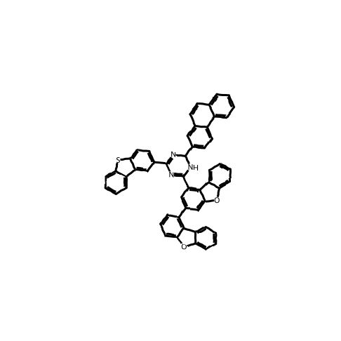 c1ccc2c(c1)ccc1cc(C3N=C(c4ccc5sc6ccccc6c5c4)N=C(c4cc(-c5cccc6oc7ccccc7c56)cc5oc6ccccc6c45)N3)ccc12